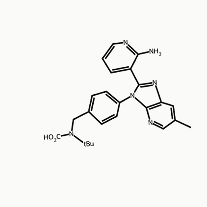 Cc1cnc2c(c1)nc(-c1cccnc1N)n2-c1ccc(CN(C(=O)O)C(C)(C)C)cc1